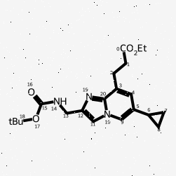 CCOC(=O)CCc1cc(C2CC2)cn2cc(CNC(=O)OC(C)(C)C)nc12